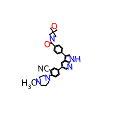 CN1CCCN(c2ccc(-c3cnc4[nH]cc(-c5ccc(C(=O)N6CC7(COC7)C6)cc5)c4c3)cc2C#N)CC1